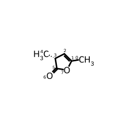 CC1=C[C@@H](C)C(=O)O1